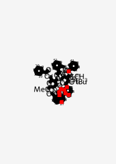 COC1OC(COC(=O)c2ccccc2)C(OC2OC(COC(=O)c3ccccc3)C(O[Si](C)(C)C(C)(C)C)C(OC(=O)c3ccccc3)C2N2OCc3ccccc3C2=O)C(OC(=O)c2ccccc2)C1N1C(=O)c2ccccc2C1=O